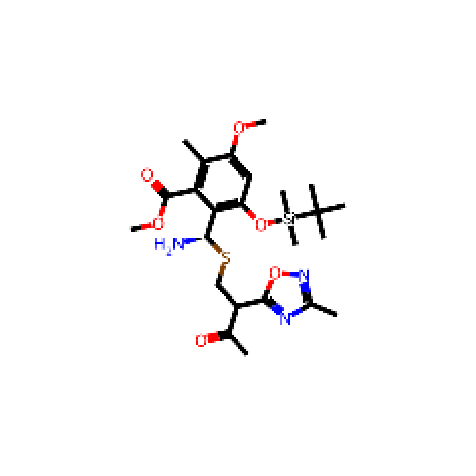 COC(=O)c1c(C)c(OC)cc(O[Si](C)(C)C(C)(C)C)c1[C@H](N)SCC(C(C)=O)c1nc(C)no1